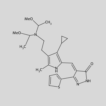 COC(C)N(CCc1c(C)[nH]c(/C=C2/C(=O)NN=C2c2cccs2)c1C1CC1)C(C)OC